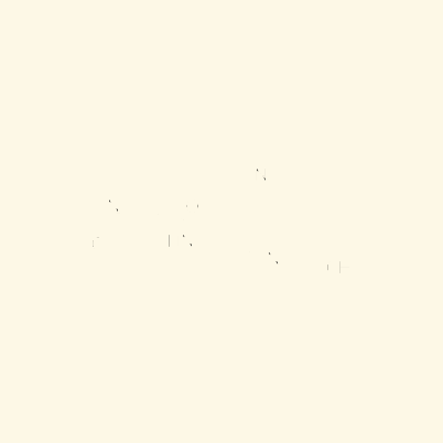 C#CCn1cc(C#N)c2cc(NC(=O)c3ccnc(Cl)c3)ccc21